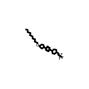 CCCCCCCCCCOC1CCC(c2ccc(C3CCC(/C=C/C(F)(F)F)CC3)cc2)CC1